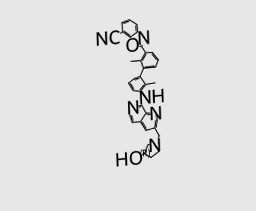 Cc1c(Nc2nccc3cc(CN4CC[C@@H](O)C4)cnc23)cccc1-c1cccc(-c2nc3cccc(C#N)c3o2)c1C